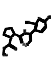 C=C(N/C(=C\N)c1ccc(Cl)nc1O)[C@@H]1CCCN1C(=O)OC(C)(C)C